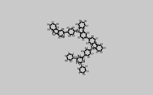 c1ccc(-c2nc(-c3ccccc3)nc(-c3ccc(-n4c5ccccc5c5ccc(-c6ccc7c(c6)c6ccccc6n7-c6ccc(-c7cc8c(cn7)oc7ccccc78)cc6)cc54)cc3)n2)cc1